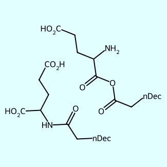 CCCCCCCCCCCC(=O)NC(CCC(=O)O)C(=O)O.CCCCCCCCCCCC(=O)OC(=O)C(N)CCC(=O)O